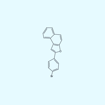 Brc1ccc(-c2cc3c(ccc4ccccc43)o2)cc1